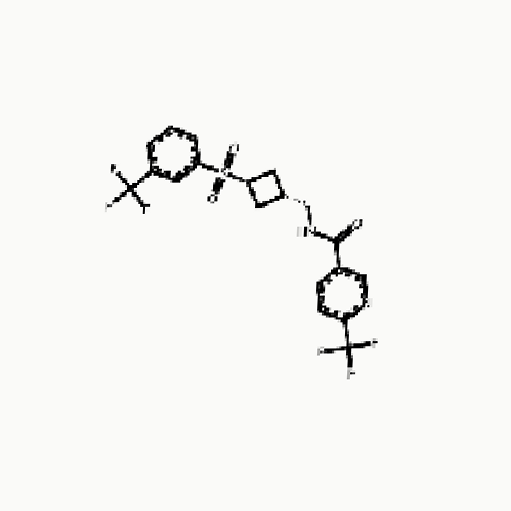 O=C(NC[C@H]1C[C@H](S(=O)(=O)c2cccc(C(F)(F)F)c2)C1)c1ccc(C(F)(F)F)nc1